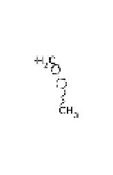 [CH2]c1ccc([C@H]2CC[C@H](CCCCC)CC2)cc1